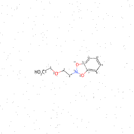 O=C(O)COCCN1Oc2ccccc2O1